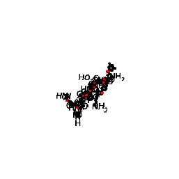 CCc1cc(OCCCCN)ccc1-c1ccc(C[C@H](NC(=O)[C@H](CC(=O)O)NC(=O)[C@H](C)NC(=O)[C@@H](NC(=O)[C@](C)(Cc2ccccc2F)NC(=O)[C@@H](NC(=O)CNC(=O)[C@H](Cc2nn[nH]n2)NC(=O)CNC(=O)CCc2c[nH]cn2)[C@@H](C)O)[C@@H](C)O)C(=O)N[C@@H](CCCc2cc(C)cc(C)c2)C(N)=O)cc1